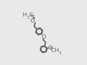 COc1ccccc1CCOc1ccc(CCOSC)cc1